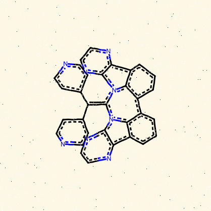 c1cc2c3cccc4c5nccnc5n(c(=C(c5ccncc5)c5ccncc5)n5c6nccnc6c(c1)c25)c34